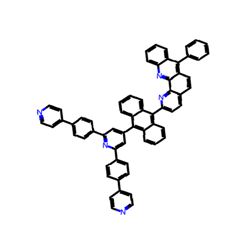 c1ccc(-c2c3ccccc3nc3c2ccc2ccc(-c4c5ccccc5c(-c5cc(-c6ccc(-c7ccncc7)cc6)nc(-c6ccc(-c7ccncc7)cc6)c5)c5ccccc45)nc23)cc1